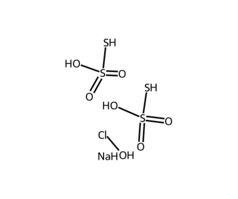 O=S(=O)(O)S.O=S(=O)(O)S.OCl.[NaH]